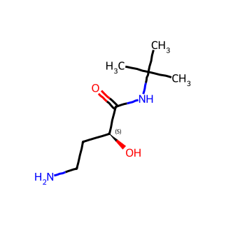 CC(C)(C)NC(=O)[C@@H](O)CCN